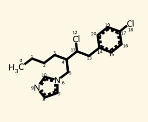 CCCCC(Cn1ccnc1)C(Cl)Cc1ccc(Cl)cc1